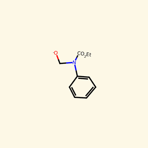 CCOC(=O)N(C[O])c1ccccc1